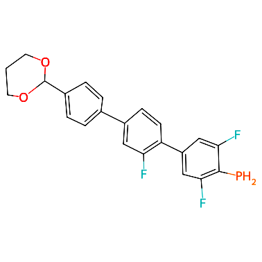 Fc1cc(-c2ccc(C3OCCCO3)cc2)ccc1-c1cc(F)c(P)c(F)c1